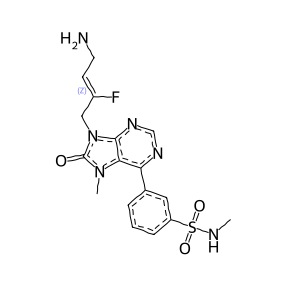 CNS(=O)(=O)c1cccc(-c2ncnc3c2n(C)c(=O)n3C/C(F)=C/CN)c1